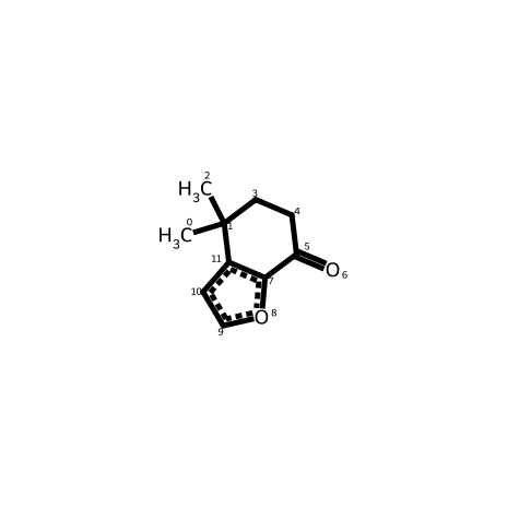 CC1(C)CCC(=O)c2occc21